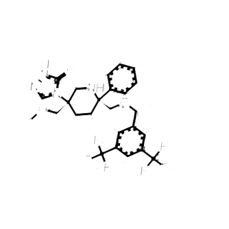 COC[C@]1(n2cn[nH]c2=O)CC[C@@](CO[C@H](C)c2cc(C(F)(F)F)cc(C(F)(F)F)c2)(c2ccccc2)NC1